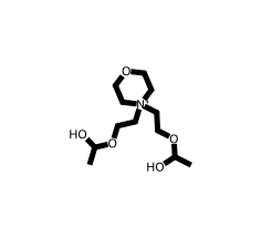 CC(O)OCC[N+]1(CCOC(C)O)CCOCC1